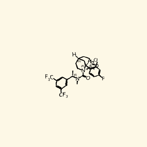 Cc1cc(F)ccc1[C@H]1C[C@@H]2CC[N+]1(C(=O)N(C)[C@H](C)c1cc(C(F)(F)F)cc(C(F)(F)F)c1)NS(=O)(=O)CC2